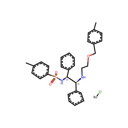 Cc1ccc(COCCN[C@@H](c2ccccc2)[C@@H](NS(=O)(=O)c2ccc(C)cc2)c2ccccc2)cc1.[Cl][Ru]